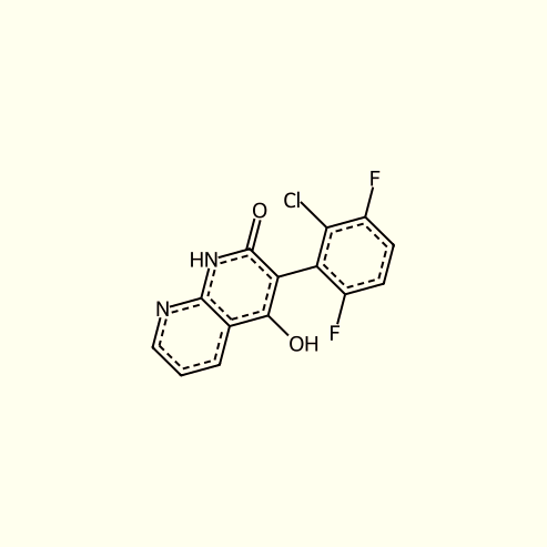 O=c1[nH]c2ncccc2c(O)c1-c1c(F)ccc(F)c1Cl